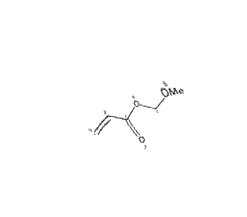 [CH]=CC(=O)OCOC